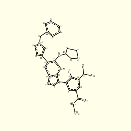 CNC(=O)c1cc(-c2cnc3cc(-c4cnn(Cc5cccnc5)c4)c(OC4CCOC4)nn23)c(F)c(C(F)F)c1